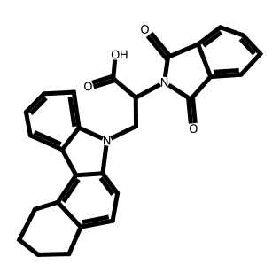 O=C(O)C(Cn1c2ccccc2c2c3c(ccc21)CCCC3)N1C(=O)c2ccccc2C1=O